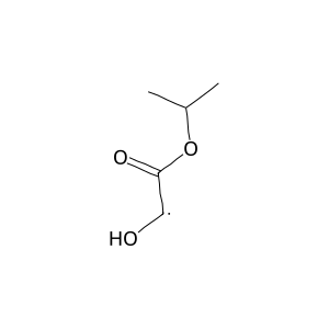 CC(C)OC(=O)[CH]O